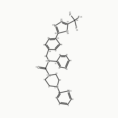 O=C(N1CCN(c2ccccn2)CC1)N(Cc1ccc(-c2nnc(C(F)(F)F)o2)cc1)c1ccccc1